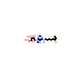 OC[C@H]1O[C@@H](n2cnc3c(NCCCCc4sccc4Cl)ncnc32)[C@H](O)[C@@H]1O